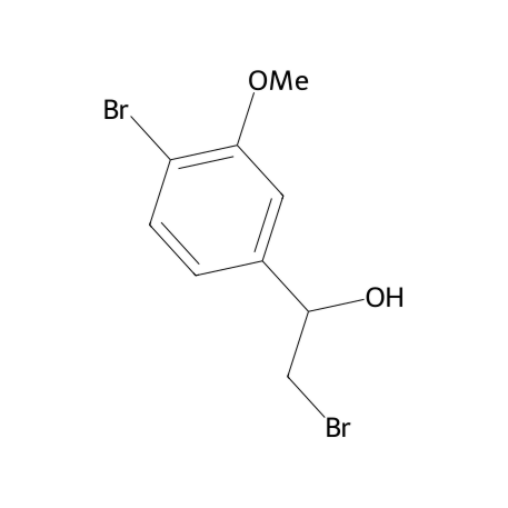 COc1cc(C(O)CBr)ccc1Br